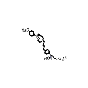 COc1ccc(N2CCN(CCCCc3ccc(/C(CCC(=O)O)=N\O)cc3)CC2)cc1